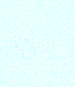 CC(C)(C)[Si](C)(C)OCc1cccc2cccc(CO)c12